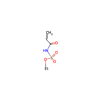 C=CC(=O)NS(=O)(=O)OCC